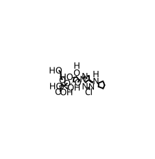 O=P(O)(O)[C@](CO)(COCCO)OC[C@H]1O[C@@H](n2ncc3c(NC4CCCC4)nc(Cl)nc32)[C@H](O)[C@@H]1O